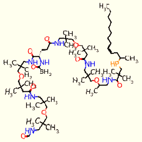 BC(=O)N[C@@H](CCC(=O)NCC(C)(C)COCC(C)(C)CC(=O)NCC(C)(C)COC(C)CNC(=O)C(C)(C)CPC(C)C/C=C\CCCCCCCC)C(=O)NCC(C)(C)COCC(C)(C)CC(=O)NCC(C)(C)COCC(C)(C)CNC=O